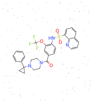 O=C(c1ccc(NS(=O)(=O)c2cccc3cccnc23)c(OC(F)(F)F)c1)N1CCN(C2(c3ccccc3)CC2)CC1